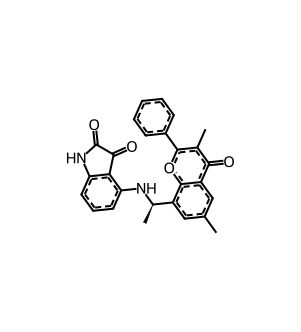 Cc1cc([C@@H](C)Nc2cccc3c2C(=O)C(=O)N3)c2oc(-c3ccccc3)c(C)c(=O)c2c1